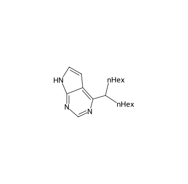 CCCCCCC(CCCCCC)c1ncnc2[nH]ccc12